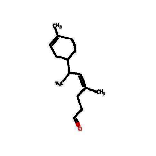 CC(=CC(C)C1CC=C(C)CC1)CCC=O